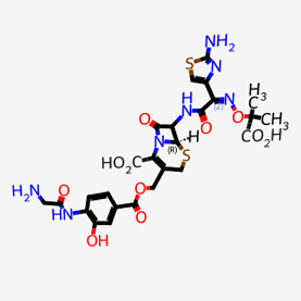 CC(C)(O/N=C(\C(=O)NC1C(=O)N2C(C(=O)O)=C(COC(=O)c3ccc(NC(=O)CN)c(O)c3)CS[C@H]12)c1csc(N)n1)C(=O)O